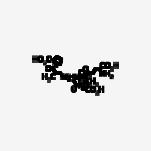 CC(C(=O)CC[C@H](N)C(=O)O)C(C)(C)N[C@@H](CSSC[C@@H](C)C(=O)N1CCC[C@H]1C(=O)O)C(=O)NCC(=O)O